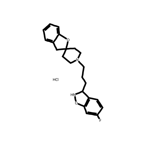 Cl.Fc1ccc2c(c1)ONC2CCCN1CCC2(CC1)Cc1ccccc1O2